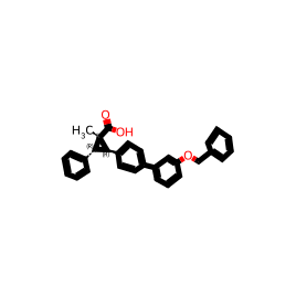 C[C@@]1(C(=O)O)[C@@H](c2ccccc2)[C@@H]1c1ccc(-c2cccc(OCc3ccccc3)c2)cc1